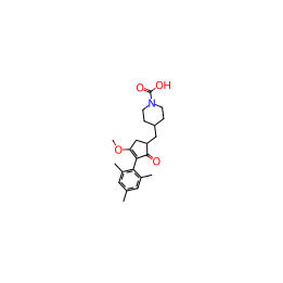 COC1=C(c2c(C)cc(C)cc2C)C(=O)C(CC2CCN(C(=O)O)CC2)C1